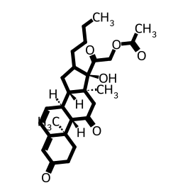 CCCCC1C[C@H]2[C@@H]3C=CC4=CC(=O)CC[C@]4(C)[C@H]3C(=O)C[C@]2(C)[C@@]1(O)C(=O)COC(C)=O